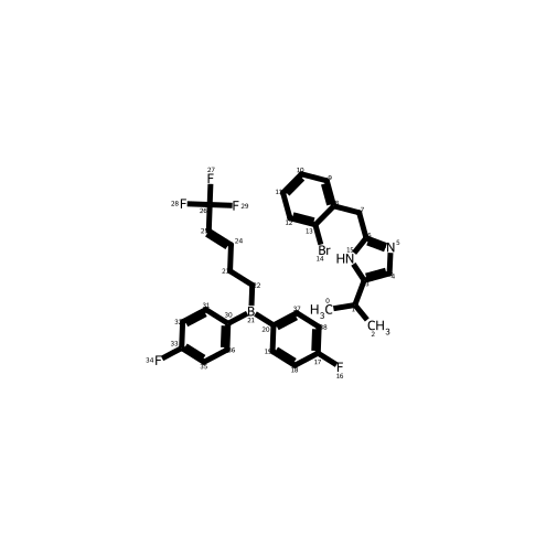 CC(C)c1cnc(Cc2ccccc2Br)[nH]1.Fc1ccc(B(CCC=CC(F)(F)F)c2ccc(F)cc2)cc1